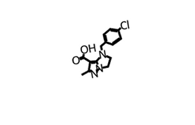 Cc1nn2c(c1C(=O)O)N(Cc1ccc(Cl)cc1)CC2